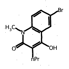 CCCc1c(O)c2cc(Br)ccc2n(C)c1=O